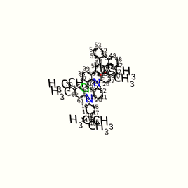 CC(C)(C)c1ccc(N(c2ccc(C(C)(C)C)cc2)c2cccc(N(c3ccc(C(C)(C)C)cc3)c3ccccc3-c3ccc4c5ccccc5c5ccccc5c4c3)c2Cl)cc1